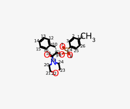 Cc1ccc(S(=O)(=O)O[C@@H](Cc2ccccc2)C(=O)N2CCOCC2)cc1